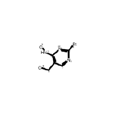 CCc1ncc(CCl)c(NCl)n1